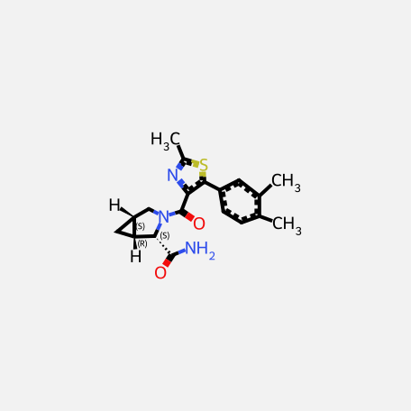 Cc1nc(C(=O)N2C[C@H]3C[C@H]3[C@H]2C(N)=O)c(-c2ccc(C)c(C)c2)s1